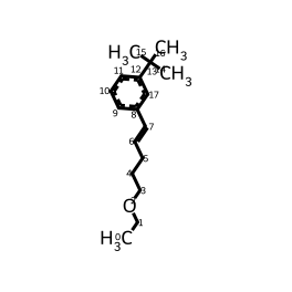 CCOCCC/C=C/c1cccc(C(C)(C)C)c1